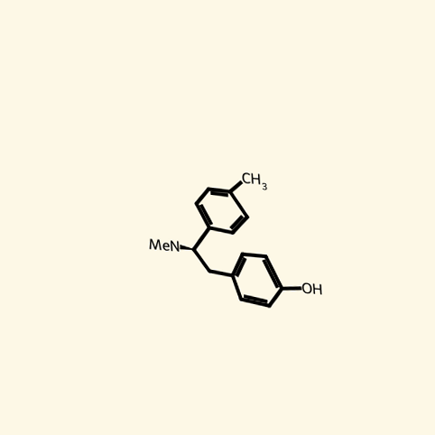 CN[C@H](Cc1ccc(O)cc1)c1ccc(C)cc1